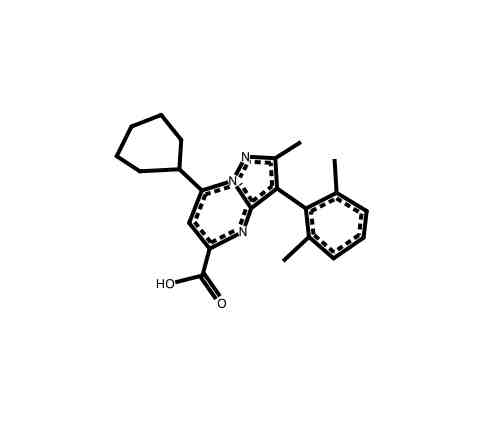 Cc1cccc(C)c1-c1c(C)nn2c(C3CCCCC3)cc(C(=O)O)nc12